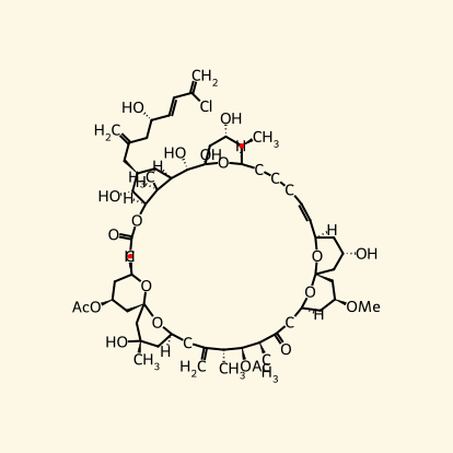 C=C(Cl)/C=C/[C@@H](O)CC(=C)C[C@H]1C[C@@H]2[C@H](C)[C@@H](OC(=O)C[C@H]3C[C@H](OC(C)=O)C[C@@]4(C[C@@](C)(O)C[C@H](CC(=C)[C@@H](C)[C@H](OC(C)=O)[C@H](C)C(=O)C[C@@H]5C[C@H](OC)C[C@@]6(C[C@@H](O)C[C@H](/C=C\CCC[C@H]7O[C@](O)(C[C@H](O)[C@H]7C)[C@H]2O)O6)O5)O4)O3)[C@@H]1O